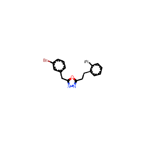 CC(C)c1ccccc1CCc1nnc(Cc2cccc(Br)c2)o1